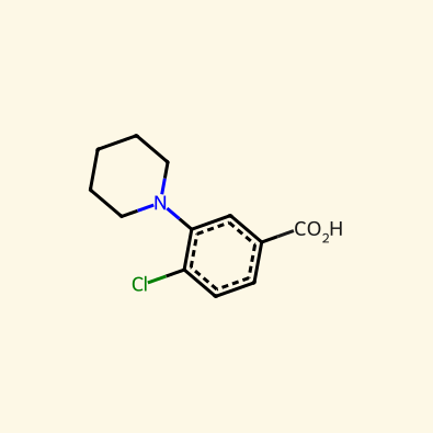 O=C(O)c1ccc(Cl)c(N2CCCCC2)c1